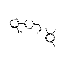 N#Cc1cccnc1C1=CCN(CC(=O)Nc2ccc(F)cc2F)CC1